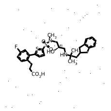 CN(C[C@H](O)CNC(C)(C)CC1Cc2ccccc2C1)S(=O)(=O)c1ccc(-c2cc(F)ccc2CCC(=O)O)s1